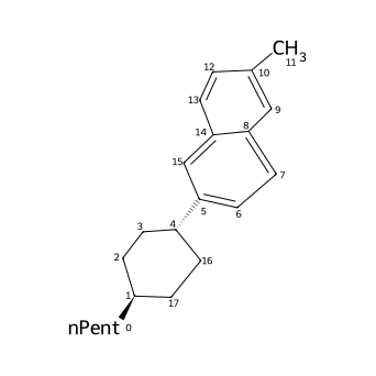 CCCCC[C@H]1CC[C@H](c2ccc3cc(C)ccc3c2)CC1